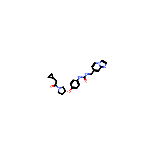 O=C(NCc1ccn2ccnc2c1)Nc1ccc(O[C@@H]2CCN(C(=O)CC3CC3)C2)cc1